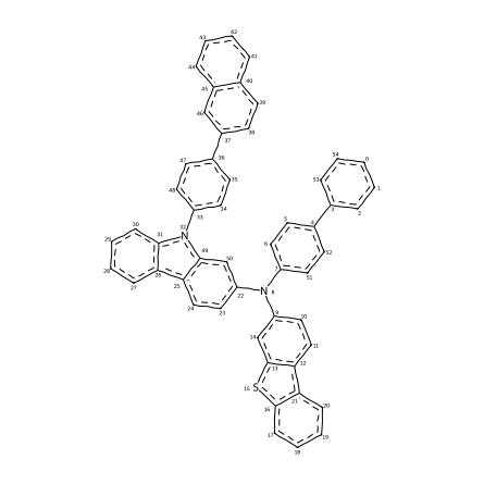 c1ccc(-c2ccc(N(c3ccc4c(c3)sc3ccccc34)c3ccc4c5ccccc5n(-c5ccc(-c6ccc7ccccc7c6)cc5)c4c3)cc2)cc1